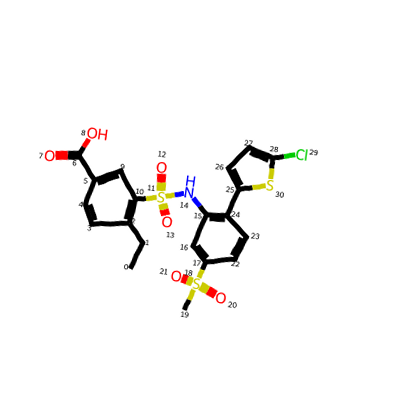 CCc1ccc(C(=O)O)cc1S(=O)(=O)Nc1cc(S(C)(=O)=O)ccc1-c1ccc(Cl)s1